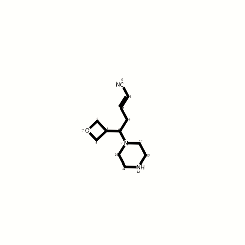 N#CC=CCC(C1COC1)N1CCNCC1